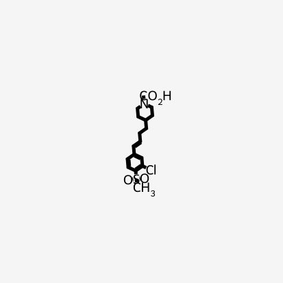 CS(=O)(=O)c1ccc(C=CCCC2CCN(C(=O)O)CC2)cc1Cl